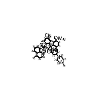 CCOc1ccc(OC)cc1C1(N2CCC(N3CCN(C)CC3)CC2)C(=O)N(S(=O)(=O)c2cccc3c(C)ccnc23)c2ccc(C#N)cc21